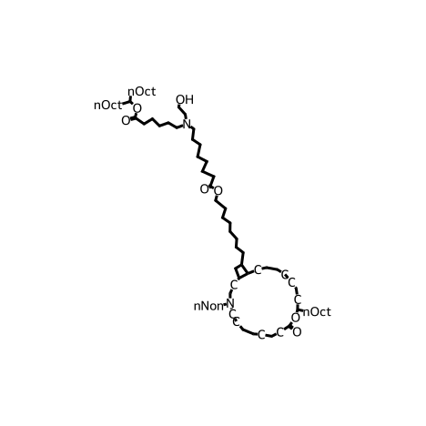 CCCCCCCCCN1CCCCCCCC(=O)OC(CCCCCCCC)CCCCCCCC2C(CCCCCCCCOC(=O)CCCCCCCN(CCO)CCCCCC(=O)OC(CCCCCCCC)CCCCCCCC)CC2CC1